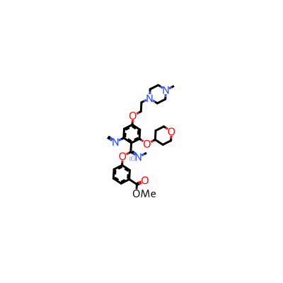 C=Nc1cc(OCCN2CCN(C)CC2)cc(OC2CCOCC2)c1/C(=N\C)Oc1cccc(C(=O)OC)c1